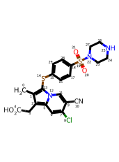 Cc1c(CC(=O)O)c2cc(Cl)c(C#N)cn2c1Sc1ccc(S(=O)(=O)N2CCNCC2)cc1